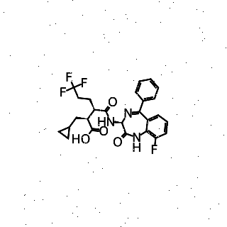 O=C1Nc2c(F)cccc2C(c2ccccc2)=N[C@@H]1NC(=O)[C@H](CCC(F)(F)F)[C@H](CC1CC1)C(=O)O